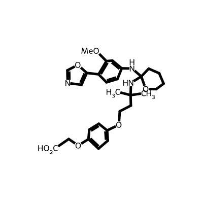 COc1cc(NC2(NC(C)(C)CCOc3ccc(OCC(=O)O)cc3)CCCCO2)ccc1-c1cnco1